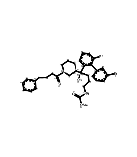 CCc1cccc(-c2c(F)cccc2[C@](O)(CCCNC(=O)OC)[C@@H]2CCCN(C(=O)CCCc3ccccc3)C2)c1